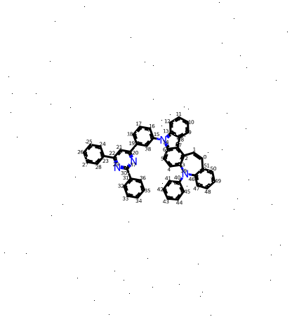 C1=Cc2c(ccc3c2c2ccccc2n3-c2cccc(-c3cc(-c4ccccc4)nc(-c4ccccc4)n3)c2)N(c2ccccc2)c2ccccc21